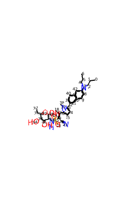 CCCN(CCC)c1ccc2cc(-c3ccc(/C(C)=C(\C#N)S(=O)(=O)N[C@H]4C(O)O[C@H](CC)[C@@H](O)[C@@H]4O)n3C)ccc2c1